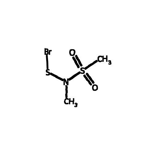 CN(SBr)S(C)(=O)=O